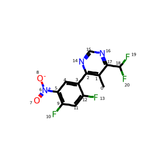 Cc1c(-c2cc([N+](=O)[O-])c(F)cc2F)ncnc1C(F)F